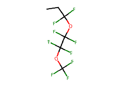 CCC(F)(F)OC(F)(F)C(F)(F)OC(F)(F)F